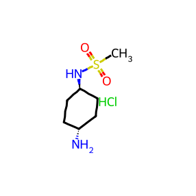 CS(=O)(=O)N[C@H]1CC[C@H](N)CC1.Cl